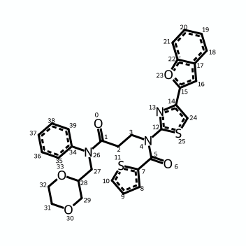 O=C(CCN(C(=O)c1cccs1)c1nc(-c2cc3ccccc3o2)cs1)N(CC1COCCO1)c1ccccc1